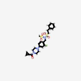 CS(=O)(=O)N(Cc1ccc(N2CCN(C(=O)C3CC3)CC2)cc1F)S(=O)(=O)CCc1ccccc1